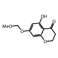 COCOc1cc(O)c2c(c1)OCCC2=O